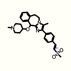 Cc1c(-c2ccc(/C=C/S(C)(=O)=O)cc2)nc2n1CCc1ccccc1C2OC1CCN(C)CC1